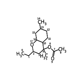 CCC1CC(C)(OC(C)=O)C2CCC(C)CC2O1